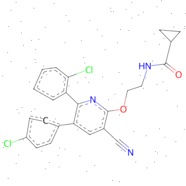 N#Cc1cc(-c2ccc(Cl)cc2)c(-c2ccccc2Cl)nc1OCCNC(=O)C1CC1